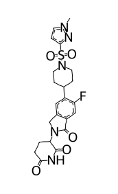 Cn1ccc(S(=O)(=O)N2CCC(c3cc4c(cc3F)C(=O)N(C3CCC(=O)NC3=O)C4)CC2)n1